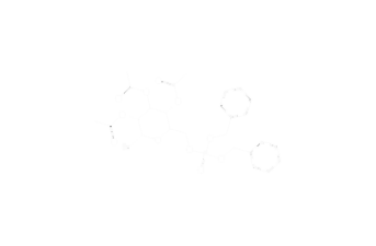 CC(=O)OC1[C@H](OC(C)=O)C(COP(=O)(OCc2ccccc2)OCc2ccccc2)O[C@H](Br)[C@@H]1OC(C)=O